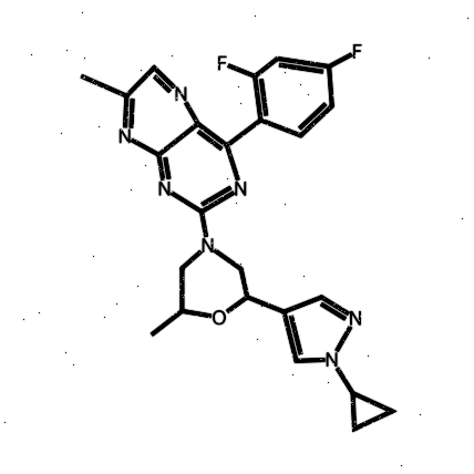 Cc1cnc2c(-c3ccc(F)cc3F)nc(N3CC(C)OC(c4cnn(C5CC5)c4)C3)nc2n1